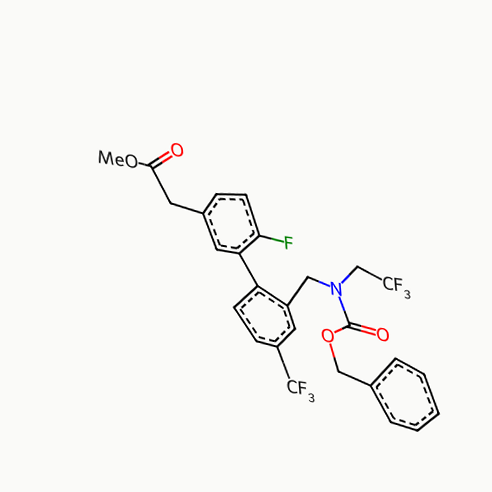 COC(=O)Cc1ccc(F)c(-c2ccc(C(F)(F)F)cc2CN(CC(F)(F)F)C(=O)OCc2ccccc2)c1